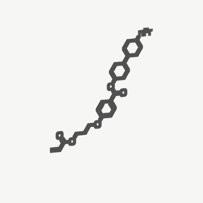 C=CC(=O)OCCCOc1ccc(C(=O)OC2CCC(C3CCC(CCC)CC3)CC2)cc1